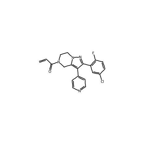 C=CC(=O)N1CCn2nc(-c3cc(Cl)ccc3F)c(-c3ccncc3)c2C1